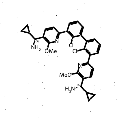 COc1nc(-c2cccc(-c3cccc(-c4ccc([C@@H](N)C5CC5)c(OC)n4)c3Cl)c2Cl)ccc1[C@@H](N)C1CC1